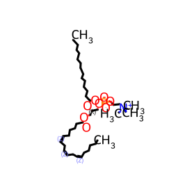 CCCCC/C=C\C/C=C\C/C=C\CCCCC(=O)OC[C@H](COP(=O)([O-])OCC[N+](C)(C)C)OC(=O)CCCCCCCCCCCCCC